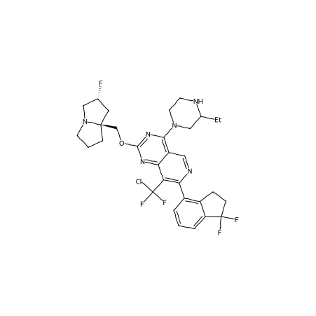 CCC1CN(c2nc(OC[C@@]34CCCN3C[C@H](F)C4)nc3c(C(F)(F)Cl)c(-c4cccc5c4CCC5(F)F)ncc23)CCN1